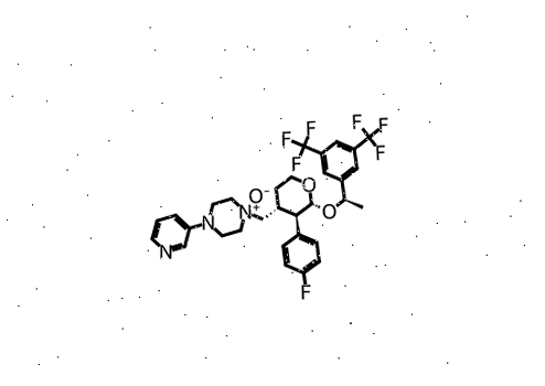 C[C@@H](O[C@H]1OCC[C@@H](C[N+]2([O-])CCN(c3cccnc3)CC2)[C@@H]1c1ccc(F)cc1)c1cc(C(F)(F)F)cc(C(F)(F)F)c1